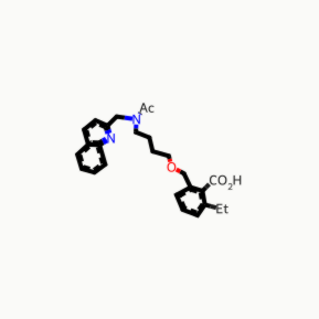 CCc1cccc(COCCCCN(Cc2ccc3ccccc3n2)C(C)=O)c1C(=O)O